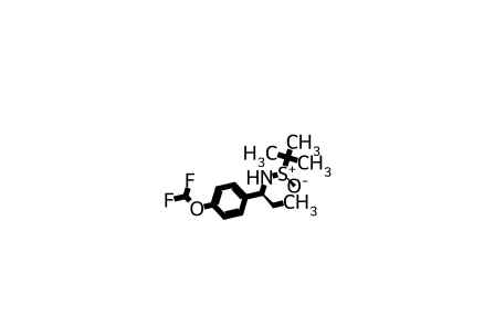 CC[C@H](N[S@+]([O-])C(C)(C)C)c1ccc(OC(F)F)cc1